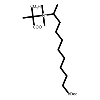 CCCCCCCCCCCCCCCCCCC(C)[N+](C)(C)C(C)(C(=O)[O-])C(=O)O